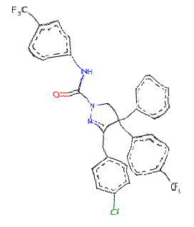 O=C(Nc1ccc(C(F)(F)F)cc1)N1CC(c2ccccc2)(c2ccc(C(F)(F)F)cc2)C(c2ccc(Cl)cc2)=N1